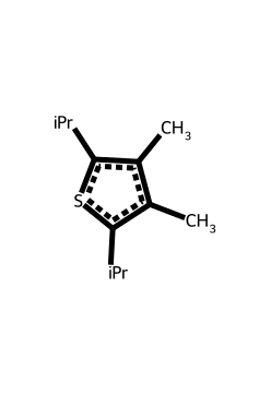 Cc1c(C(C)C)sc(C(C)C)c1C